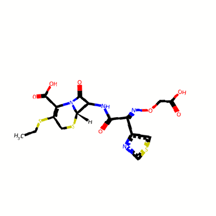 CCSC1=C(C(=O)O)N2C(=O)C(NC(=O)C(=NOCC(=O)O)c3cscn3)[C@@H]2SC1